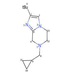 CC(C)(C)c1cn2c(n1)CN(CC1CC1)CC2